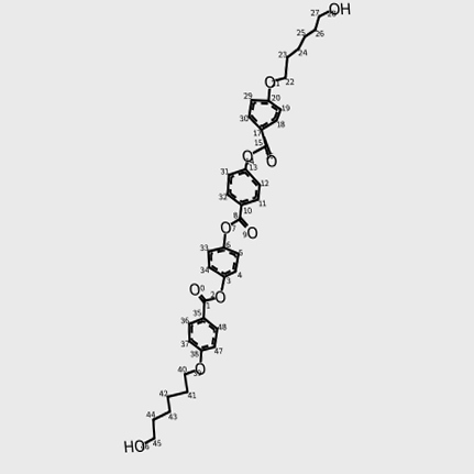 O=C(Oc1ccc(OC(=O)c2ccc(OC(=O)c3ccc(OCCCCCCO)cc3)cc2)cc1)c1ccc(OCCCCCCO)cc1